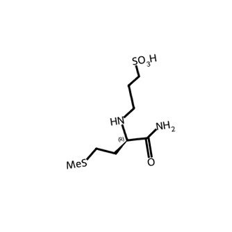 CSCC[C@@H](NCCCS(=O)(=O)O)C(N)=O